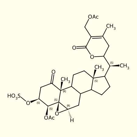 CC(=O)OCC1=C(C)CC([C@@H](C)C2CCC3C4C[C@H]5O[C@]56[C@@H](OC(C)=O)[C@@H](OS(=O)(=O)O)CC(=O)[C@]6(C)C4CC[C@@]32C)OC1=O